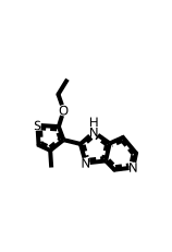 CCOc1scc(C)c1-c1nc2cnccc2[nH]1